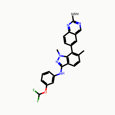 CNc1ncc2cc(-c3c(C)ccc4c(Nc5cccc(OC(F)F)c5)nn(C)c34)ccc2n1